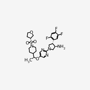 C[C@H](Oc1cnc(N2C[C@H](c3cc(F)c(F)cc3F)[C@@H](N)C2)nc1)C1CCN(S(=O)(=O)[C@@H]2CCOC2)CC1